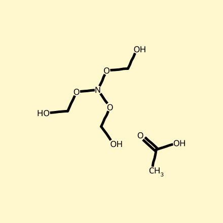 CC(=O)O.OCON(OCO)OCO